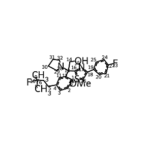 COc1ccc(CCC(C)(C)F)cc1C(CO)(c1nc(-c2ccc(F)cc2)cs1)N1CCCC1